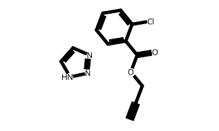 C#CCOC(=O)c1ccccc1Cl.c1c[nH]nn1